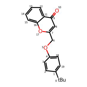 CC(C)(C)c1ccc(OCc2cc(=O)c3ccccc3o2)cc1